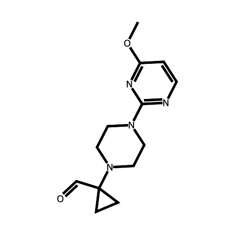 COc1ccnc(N2CCN(C3(C=O)CC3)CC2)n1